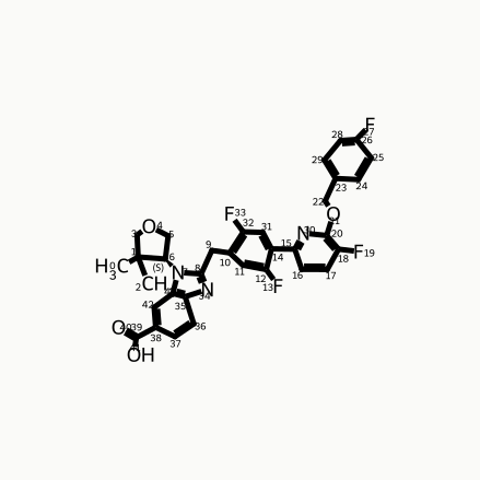 CC1(C)COC[C@H]1n1c(Cc2cc(F)c(-c3ccc(F)c(OCc4ccc(F)cc4)n3)cc2F)nc2ccc(C(=O)O)cc21